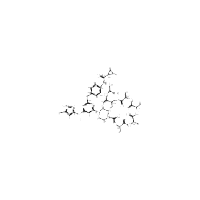 Cc1cc(Nc2cc(N3CCN(C(=O)OC(C)C(=O)OC(C)C(=O)OC(C)C(=O)OC(C)C(=O)OC(C)C(=O)OC(C)O)CC3)nc(Sc3ccc(NC(=O)C4CC4)cc3)n2)n[nH]1